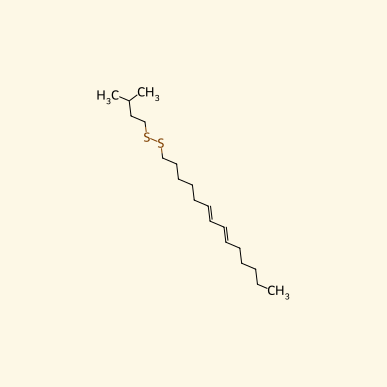 CCCCC/C=C/C=C/CCCCCSSCCC(C)C